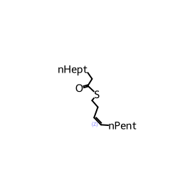 CCCCC/C=C\CCSC(=O)CCCCCCCC